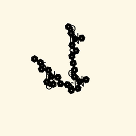 c1ccc(-c2ccc3sc4c(-c5cccc(-c6nc(-c7cccc(-c8cccc(-c9ccc%10sc%11c(-c%12cccc(-c%13nc(-c%14ccccc%14)nc(-c%14ccc%15oc%16cc(-c%17ccc(-c%18ccc%19sc%20c(-c%21cccc(-c%22nc(-c%23ccccc%23)nc(-c%23ccc%24c(c%23)oc%23ccccc%23%24)n%22)c%21)cccc%20c%19c%18)cc%17)ccc%16c%15c%14)n%13)c%12)cccc%11c%10c9)c8)c7)nc(-c7cccc8oc9ccccc9c78)n6)c5)cccc4c3c2)cc1